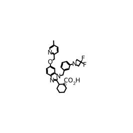 Cc1ccc(COc2ccc3nc(C4CCCC[C@H]4C(=O)O)n(Cc4cccc(N5CC(F)(F)C5)c4)c3c2)nc1